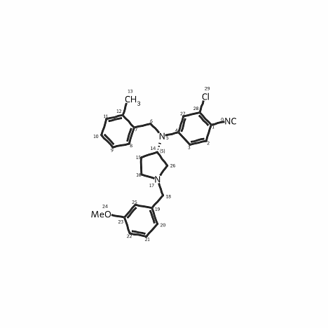 [C-]#[N+]c1ccc(N(Cc2ccccc2C)[C@H]2CCN(Cc3cccc(OC)c3)C2)cc1Cl